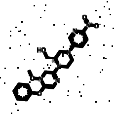 CON1CC(N2CCN(c3ccc([N+](=O)[O-])nc3)C[C@@H]2CO)=NC=C1Oc1ccccc1